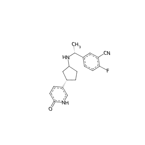 C[C@@H](NC1CC[C@H](c2ccc(=O)[nH]c2)C1)c1ccc(F)c(C#N)c1